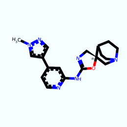 Cn1cc(-c2ccnc(NC3=NC[C@@]4(CN5CCC4CC5)O3)c2)cn1